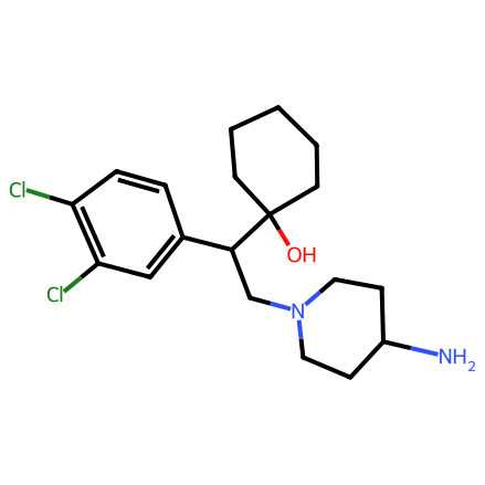 NC1CCN(CC(c2ccc(Cl)c(Cl)c2)C2(O)CCCCC2)CC1